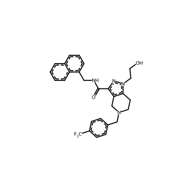 O=C(NCc1cccc2ccccc12)c1nn(CCO)c2c1CN(Cc1ccc(C(F)(F)F)cc1)CC2